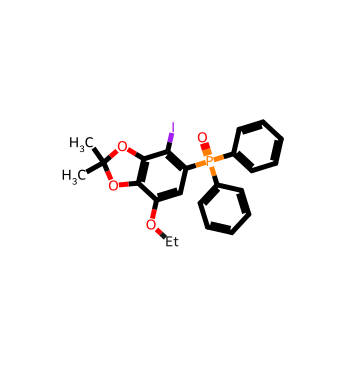 CCOc1cc(P(=O)(c2ccccc2)c2ccccc2)c(I)c2c1OC(C)(C)O2